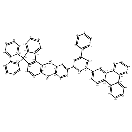 c1ccc(-c2cc(-c3ccc4c(c3)Oc3c(ccc5c3-c3ccccc3C5(c3ccccc3)c3ccccc3)O4)nc(-c3ccc4c5ccccc5c5ccccc5c4c3)n2)cc1